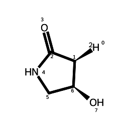 [2H][C@@H]1C(=O)NC[C@@H]1O